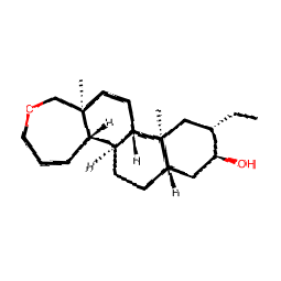 CC[C@H]1C[C@@]2(C)[C@@H](CC[C@H]3[C@@H]4CCCOC[C@@]4(C)CC[C@@H]32)C[C@@H]1O